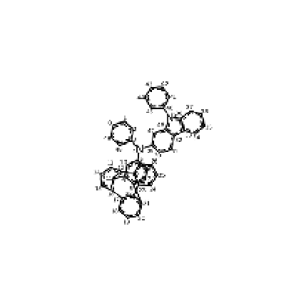 c1ccc(N(c2ccc3c(c2)-c2c4cccc2-c2cccc-3c2-c2ccccc2-4)c2ccc3c4ccccc4n(-c4ccccc4)c3c2)cc1